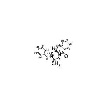 C[C@H]1CN2C(=O)c3ccccc3C[C@@H]2CN1Cc1ccccc1